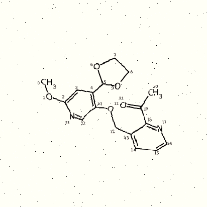 COc1cc(C2OCCO2)c(OCc2cccnc2C(C)=O)cn1